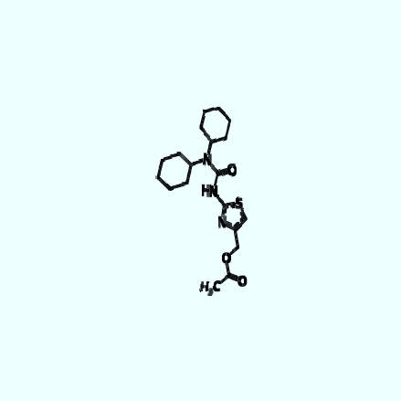 CC(=O)OCc1csc(NC(=O)N(C2CCCCC2)C2CCCCC2)n1